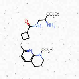 CCOC(=O)C(N)CNC(=O)[C@H]1C[C@H](Cc2ccc3c(n2)N(C(=O)O)CCC3)C1